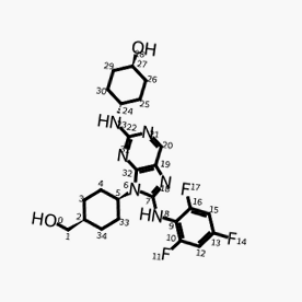 OC[C@H]1CC[C@@H](n2c(Nc3c(F)cc(F)cc3F)nc3cnc(N[C@H]4CC[C@H](O)CC4)nc32)CC1